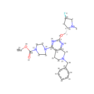 CN1C[C@H](F)C[C@H]1COc1nc2c(c(N3CCN(C(=O)OC(C)(C)C)CC3)n1)CCN(Cc1ccccc1)C2